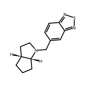 c1cc2nsnc2cc1CN1CC[C@H]2CCC[C@H]21